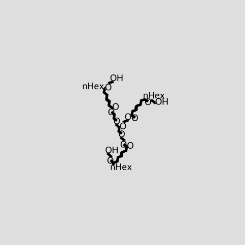 CCCCCCC(CCC=CCC(=O)OCCOCC(COCCOC(=O)CC=CCCC(CCCCCC)OCCO)OCCOC(=O)CC=CCCC(CCCCCC)OCCO)OCCO